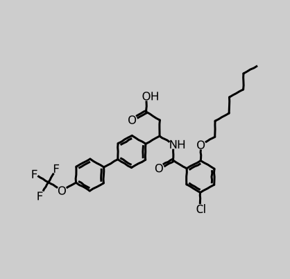 CCCCCCCOc1ccc(Cl)cc1C(=O)NC(CC(=O)O)c1ccc(-c2ccc(OC(F)(F)F)cc2)cc1